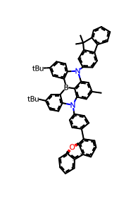 Cc1cc2c3c(c1)N(c1ccc4c(c1)C(C)(C)c1ccccc1-4)c1ccc(C(C)(C)C)cc1B3c1cc(C(C)(C)C)ccc1N2c1ccc(-c2cccc3c2oc2ccccc23)cc1